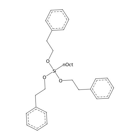 CCCCCCCC[Si](OCCc1ccccc1)(OCCc1ccccc1)OCCc1ccccc1